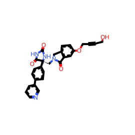 O=C1NC(=O)[C@](CN2Cc3ccc(OCC#CCO)cc3C2=O)(c2ccc(-c3cccnc3)cc2)N1